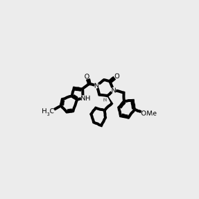 COc1cccc(CN2C(=O)CN(C(=O)c3cc4cc(C)ccc4[nH]3)C[C@@H]2CC2CCCCC2)c1